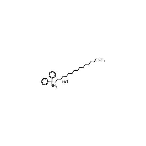 CCCCCCCCCCCCCCCCCC(N)(c1ccccc1)c1ccccc1.Cl